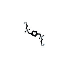 C[N+](C)(CCO)Cc1ccc(C[N+](C)(C)CCO)cc1